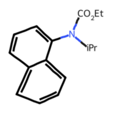 CCOC(=O)N(c1cccc2ccccc12)C(C)C